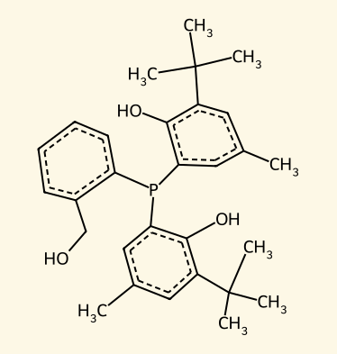 Cc1cc(P(c2ccccc2CO)c2cc(C)cc(C(C)(C)C)c2O)c(O)c(C(C)(C)C)c1